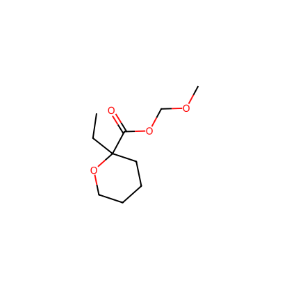 CCC1(C(=O)OCOC)CCCCO1